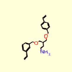 C=Cc1ccc(COCC(CCN)COCc2cccc(C=C)c2)cc1